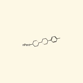 CCCCC[C@H]1CC[C@H]([C@H]2CC[C@H](c3ccc(C)cc3)CC2)CC1